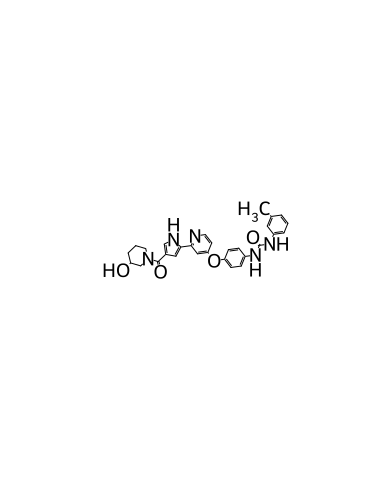 Cc1cccc(NC(=O)Nc2ccc(Oc3ccnc(-c4cc(C(=O)N5CCCC(O)C5)c[nH]4)c3)cc2)c1